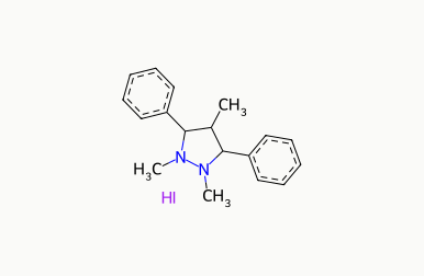 CC1C(c2ccccc2)N(C)N(C)C1c1ccccc1.I